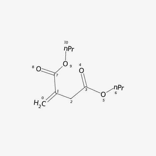 C=C(CC(=O)OCCC)C(=O)OCCC